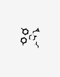 O=C1[C@H](C[C@H](O)CO)O[C@H](c2cccc(Cl)c2)[C@H](c2ccc(Cl)cc2)N1CC1CC1